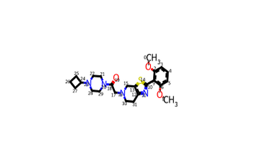 COc1cccc(OC)c1-c1nc2c(s1)CN(CC(=O)N1CCN(C3CCC3)CC1)CC2